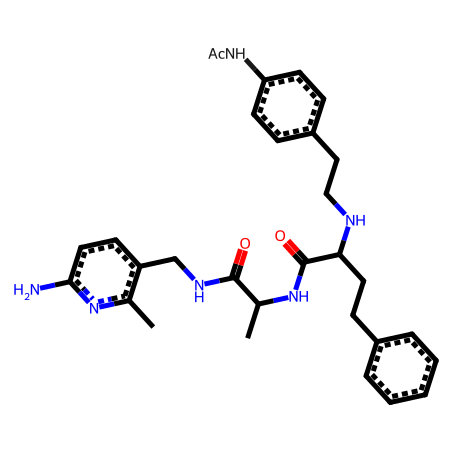 CC(=O)Nc1ccc(CCNC(CCc2ccccc2)C(=O)NC(C)C(=O)NCc2ccc(N)nc2C)cc1